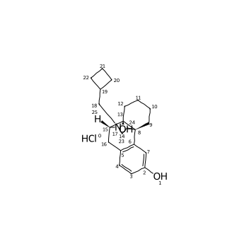 Cl.Oc1ccc2c(c1)[C@@]13CCCC[C@@]1(O)[C@@H](C2)N(CC1CCC1)CC3